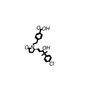 CC(C)(c1ccc(Cl)cc1)[C@H](O)C=C[C@H]1CCC(=O)N1CCc1ccc(C(=O)O)cc1